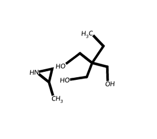 CC1CN1.CCC(CO)(CO)CO